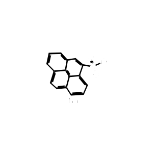 O=S(=O)([O-])c1cc2cccc3ccc4cccc1c4c32.[Na+]